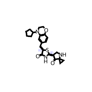 O=C1/C(=c2\[nH]c(=O)/c(=C/c3ccc4c(c3)N(C3CCCC3)CCO4)s2)CNC12CC2